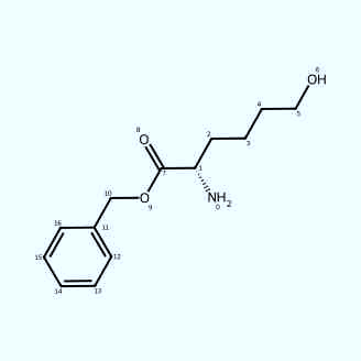 N[C@@H](CCCCO)C(=O)OCc1ccccc1